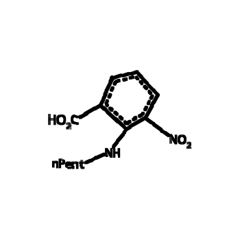 CCCCCNc1c(C(=O)O)cccc1[N+](=O)[O-]